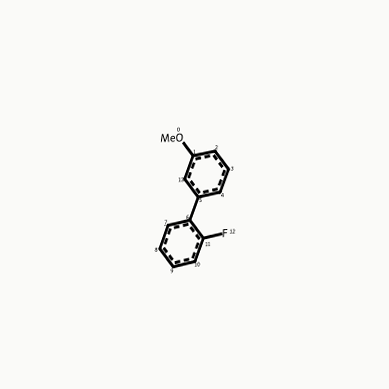 COc1cccc(-c2[c]cccc2F)c1